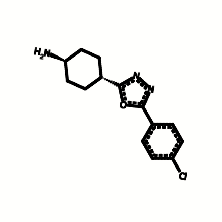 N[C@H]1CC[C@H](c2nnc(-c3ccc(Cl)cc3)o2)CC1